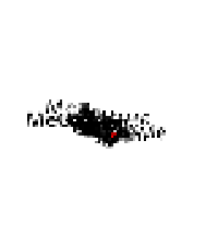 COc1ccc(Nc2cccc(OCCOc3cccc(Nc4ccc(OC)cc4C)c3Nc3ccc(OC)cc3C)c2Nc2ccc(OC)cc2C)c(C)c1